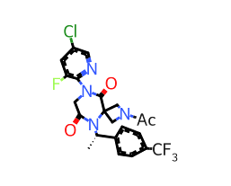 CC(=O)N1CC2(C1)C(=O)N(c1ncc(Cl)cc1F)CC(=O)N2[C@@H](C)c1ccc(C(F)(F)F)cc1